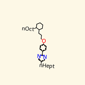 CCCCCCCCC1CCCCC1CCCOc1ccc(-c2ncc(CCCCCCC)cn2)cc1